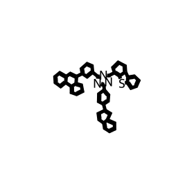 c1cc(-c2nc(-c3ccc(-c4ccc5ccccc5c4)cc3)nc(-c3cccc4c3sc3ccccc34)n2)cc(-c2cc3ccccc3c3ccccc23)c1